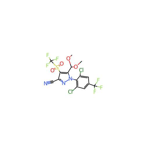 COC(OC)c1c(S(=O)(=O)C(F)(F)F)c(C#N)nn1-c1c(Cl)cc(C(F)(F)F)cc1Cl